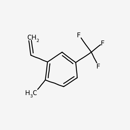 C=Cc1cc(C(F)(F)F)ccc1C